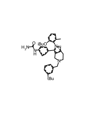 Cc1cccc(OCC(C)C)c1-n1nc2c(c1-c1ccc(NC(N)=O)cc1)CN(Cc1cccc(C(C)(C)C)c1)CC2